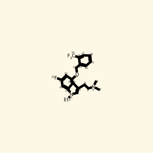 CCn1cc(CCN(C)C)c2c(OCc3ccccc3C(F)(F)F)cc(F)cc21